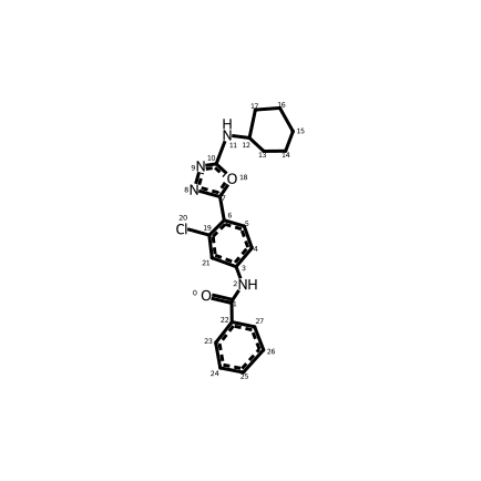 O=C(Nc1ccc(-c2nnc(NC3CCCCC3)o2)c(Cl)c1)c1ccccc1